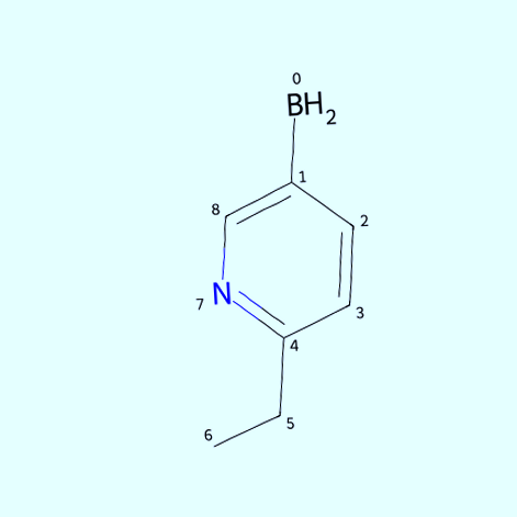 Bc1ccc(CC)nc1